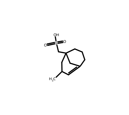 CC1C=C2CCCC(CS(=O)(=O)O)(C2)C1